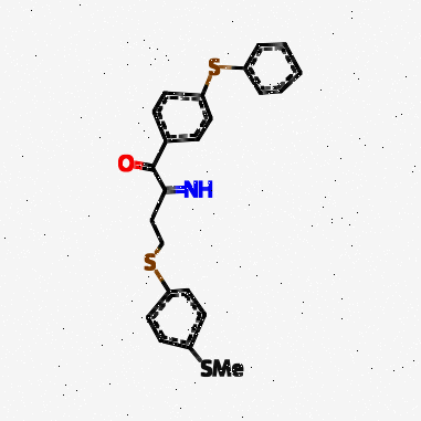 CSc1ccc(SCCC(=N)C(=O)c2ccc(Sc3ccccc3)cc2)cc1